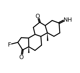 C[C@]12CCC(=N)CC1C(=O)CC1C2CC[C@]2(C)C(=O)C(F)CC12